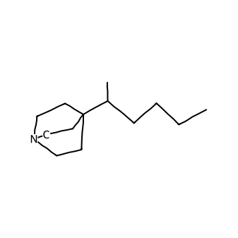 CCCCC(C)C12CCN(CC1)CC2